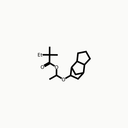 CCC(C)(C)C(=O)OC(C)OC1CC2CC1C1CCCC21